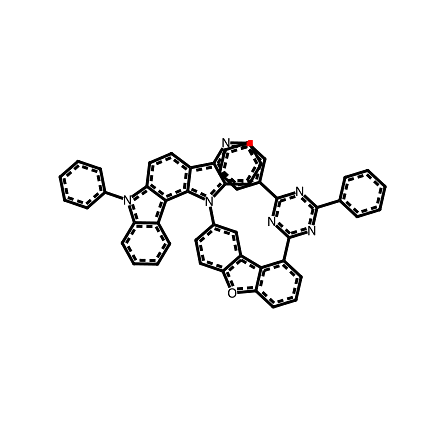 c1ccc(-c2nc(-c3ccccc3)nc(-c3cccc4oc5ccc(-n6c7cccnc7c7ccc8c(c9ccccc9n8-c8ccccc8)c76)cc5c34)n2)cc1